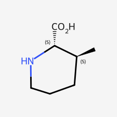 C[C@H]1CCCN[C@@H]1C(=O)O